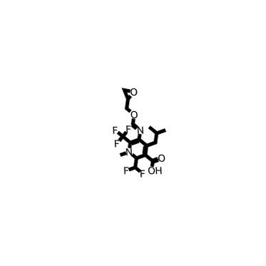 CC(C)CC1=C(C(=O)O)C(C(F)F)N(C)C(C(F)(F)F)=C1N=COCC1CO1